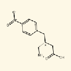 NC[C@@H](CC(=O)O)Cc1ccc([N+](=O)[O-])cc1